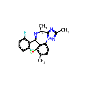 Cc1nc2n(n1)-c1ccc(C(F)(F)F)c(Cl)c1C(c1c(F)cccc1F)=N[C@H]2C